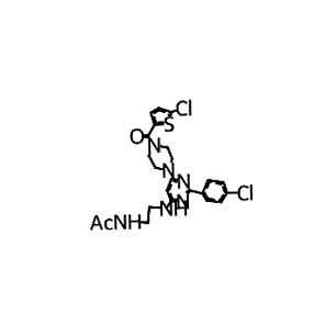 CC(=O)NCCNc1cc(N2CCN(C(=O)c3ccc(Cl)s3)CC2)nc(-c2ccc(Cl)cc2)n1